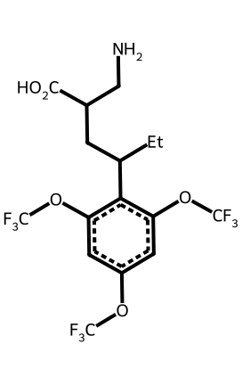 CCC(CC(CN)C(=O)O)c1c(OC(F)(F)F)cc(OC(F)(F)F)cc1OC(F)(F)F